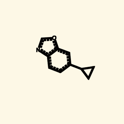 c1nc2ccc(C3CC3)cc2o1